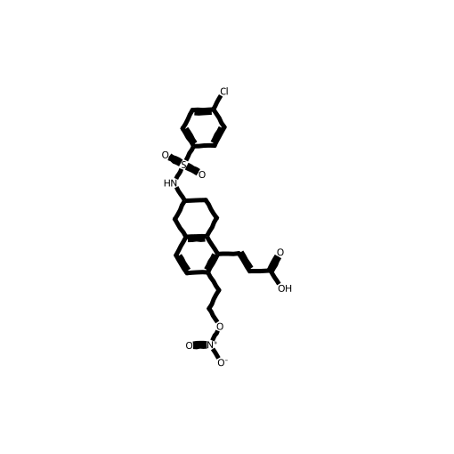 O=C(O)C=Cc1c(CCO[N+](=O)[O-])ccc2c1CCC(NS(=O)(=O)c1ccc(Cl)cc1)C2